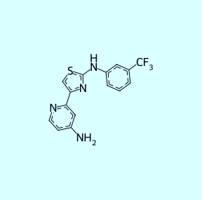 Nc1ccnc(-c2csc(Nc3cccc(C(F)(F)F)c3)n2)c1